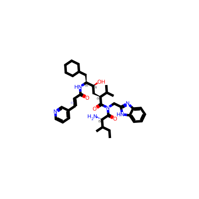 CCC(C)[C@H](N)C(=O)N(Cc1nc2ccccc2[nH]1)C(=O)[C@@H](C[C@H](O)[C@H](CC1CCCCC1)NC(=O)/C=C/c1cccnc1)C(C)C